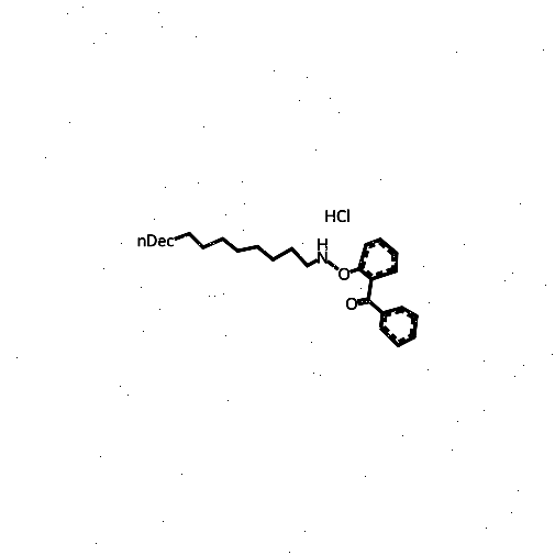 CCCCCCCCCCCCCCCCCCNOc1ccccc1C(=O)c1ccccc1.Cl